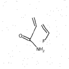 C=CC(N)=O.C=CF